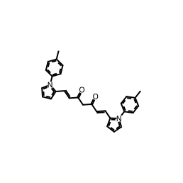 Cc1ccc(-n2cccc2C=CC(=O)CC(=O)C=Cc2cccn2-c2ccc(C)cc2)cc1